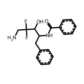 NCC(F)(F)C(O)C(Cc1ccccc1)NC(=O)c1ccccc1